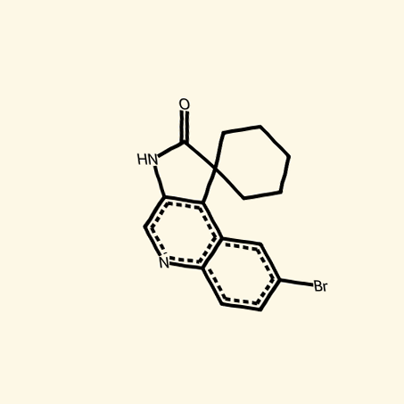 O=C1Nc2cnc3ccc(Br)cc3c2C12CCCCC2